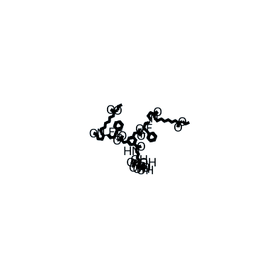 CCOC(=O)CCCCCCN1C(=O)CC[C@@H]1/C=C/[C@@H](OC(=O)Cc1cc(CC(=O)O[C@H](/C=C/[C@H]2CCC(=O)N2CCCCCCC(=O)OCC)C(F)(F)c2ccccc2)cc(C(=O)NCCCC(O)(P(=O)(O)O)P(=O)(O)O)c1)C(F)(F)c1ccccc1